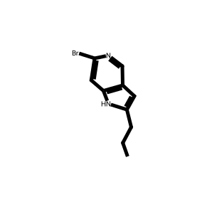 CCCc1cc2cnc(Br)cc2[nH]1